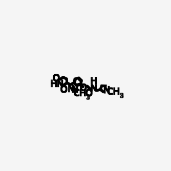 CN1CCC(CNC(=O)COc2cccc3c(C4CCC(=O)NC4=O)nn(C)c23)C1